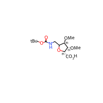 CO[C@H]1[C@H](OC)C(CNC(=O)OC(C)(C)C)O[C@H]1C(=O)O